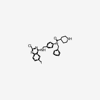 O=C(C1CCNCC1)N(Cc1ccccc1)c1ccc(CNc2nc(Cl)nc3ccc(I)cc23)cc1